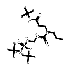 CCCN(CCC(=O)OC(C)(C)C)C(=O)OCOP(=O)(OC(C)(C)C)OC(C)(C)C